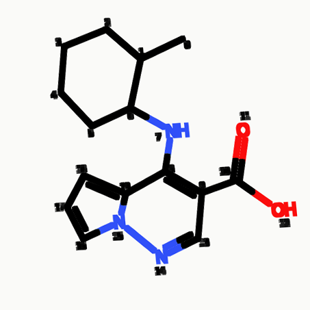 CC1CCCCC1Nc1c(C(=O)O)cnn2cccc12